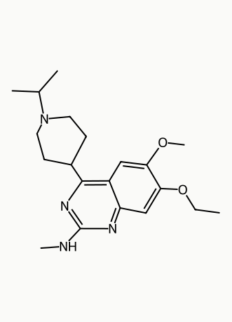 CCOc1cc2nc(NC)nc(C3CCN(C(C)C)CC3)c2cc1OC